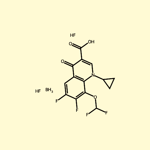 B.F.F.O=C(O)c1cn(C2CC2)c2c(OC(F)F)c(F)c(F)cc2c1=O